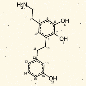 NCCc1cc(O)c(O)c(CCc2cccc(O)c2)c1